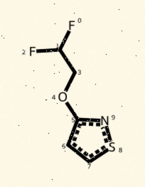 FC(F)COc1ccsn1